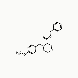 COc1ccc(CN2CCOC[C@H]2C(=O)OCc2ccccc2)cc1